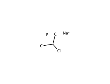 ClC(Cl)Cl.[F-].[Na+]